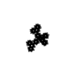 c1ccc2c(c1)cc(-c1ccc(N(c3ccc(-c4cc5ccccc5c5ccccc45)cc3)c3cc4ccccc4c4c3oc3ccccc34)cc1)c1ccccc12